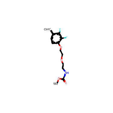 CC(C)(C)OC(=O)NCCOCCOc1ccc(C=O)c(F)c1F